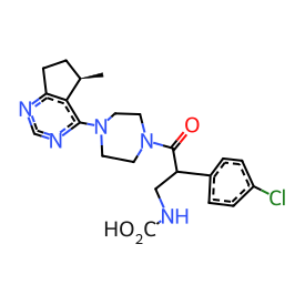 C[C@@H]1CCc2ncnc(N3CCN(C(=O)C(CNC(=O)O)c4ccc(Cl)cc4)CC3)c21